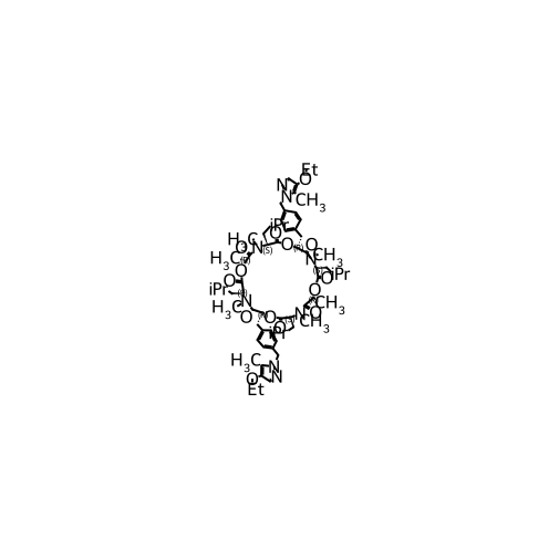 CCOc1cnn(Cc2ccc(C[C@H]3OC(=O)[C@H](CC(C)C)N(C)C(=O)[C@@H](C)OC(=O)[C@H](CC(C)C)N(C)C(=O)[C@@H](Cc4ccc(Cn5ncc(OCC)c5C)cc4)OC(=O)[C@H](CC(C)C)N(C)C(=O)[C@@H](C)OC(=O)[C@H](CC(C)C)N(C)C3=O)cc2)c1C